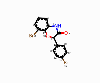 O=C1Nc2cccc(Br)c2OC1c1ccc(Br)cc1